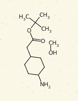 CC(C)(C)OC(=O)CC1CCC(N)CC1.CO